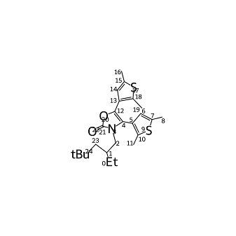 CCC(Cn1c(-c2cc(C)sc2C)c(-c2cc(C)sc2C)oc1=O)CC(C)(C)C